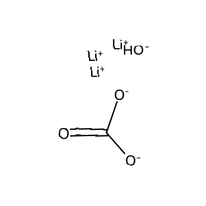 O=C([O-])[O-].[Li+].[Li+].[Li+].[OH-]